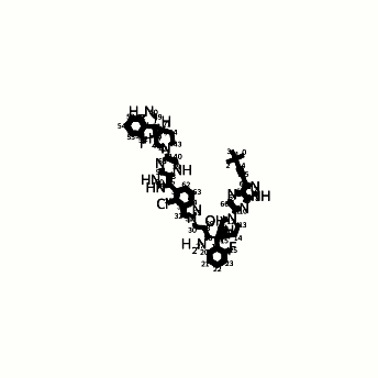 CC(C)(C)C#Cc1n[nH]c2nc(N3CC[C@@H]4[C@H](C3)[C@]4(c3ccccc3F)C(N)C(O)Cn3cc4c(Cl)c(C5=C6NC=C(N7CC[C@@H]8[C@H](C7)[C@@]8(CN)c7ccccc7F)N=C6NN5)ccc4n3)cnc12